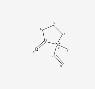 C=C[N+]1(C)CCCC1=O